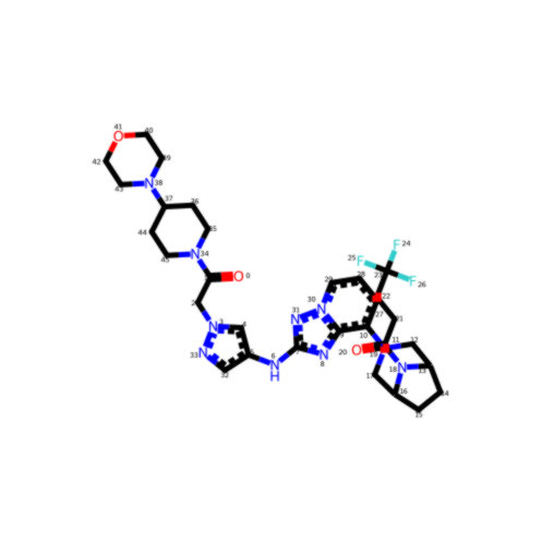 O=C(Cn1cc(Nc2nc3c(N4CC5CCC(C4)N5C(=O)CCC(F)(F)F)cccn3n2)cn1)N1CCC(N2CCOCC2)CC1